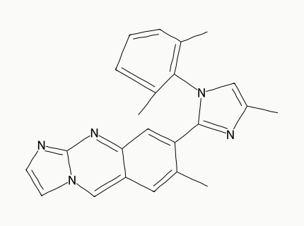 Cc1cn(-c2c(C)cccc2C)c(-c2cc3nc4nccn4cc3cc2C)n1